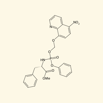 COC(=O)[C@H](Cc1ccccc1)NP(=O)(OCOc1ccc([N+](=O)[O-])c2cccnc12)Oc1ccccc1